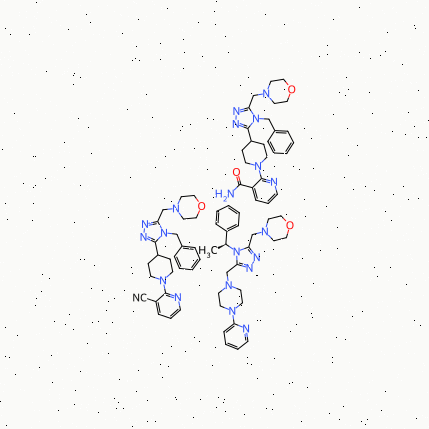 C[C@@H](c1ccccc1)n1c(CN2CCOCC2)nnc1CN1CCN(c2ccccn2)CC1.N#Cc1cccnc1N1CCC(c2nnc(CN3CCOCC3)n2Cc2ccccc2)CC1.NC(=O)c1cccnc1N1CCC(c2nnc(CN3CCOCC3)n2Cc2ccccc2)CC1